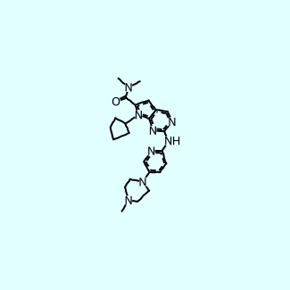 CN1CCN(c2ccc(Nc3ncc4cc(C(=O)N(C)C)n(C5CCCC5)c4n3)nc2)CC1